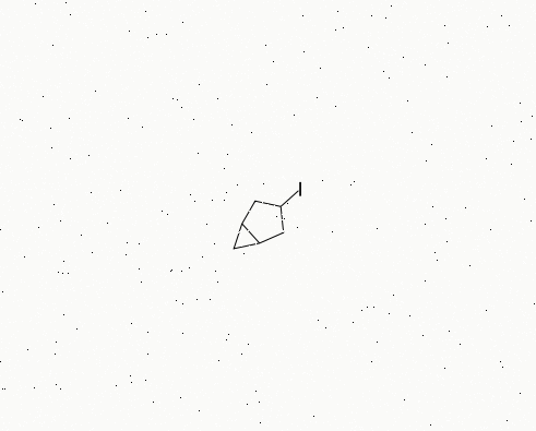 IC1CC2CC2C1